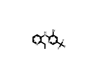 CCc1ncccc1Nc1ncc(C(F)(F)F)cc1Br